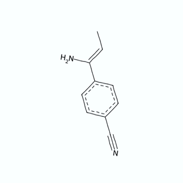 C/C=C(\N)c1ccc(C#N)cc1